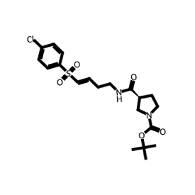 CC(C)(C)OC(=O)N1CC[C@H](C(=O)NCC/C=C/S(=O)(=O)c2ccc(Cl)cc2)C1